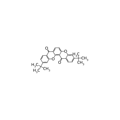 CC(C)(C)c1ccc2c(=O)c3ccc4oc5cc(C(C)(C)C)ccc5c(=O)c4c3oc2c1